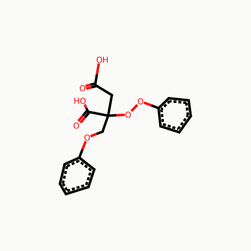 O=C(O)CC(COc1ccccc1)(OOc1ccccc1)C(=O)O